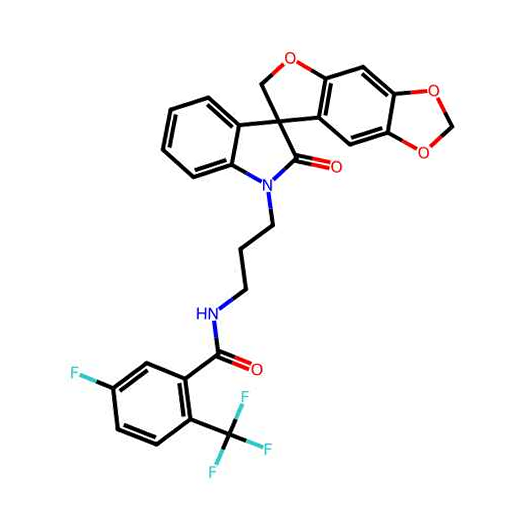 O=C(NCCCN1C(=O)C2(COc3cc4c(cc32)OCO4)c2ccccc21)c1cc(F)ccc1C(F)(F)F